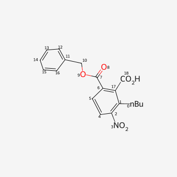 CCCCc1c([N+](=O)[O-])ccc(C(=O)OCc2ccccc2)c1C(=O)O